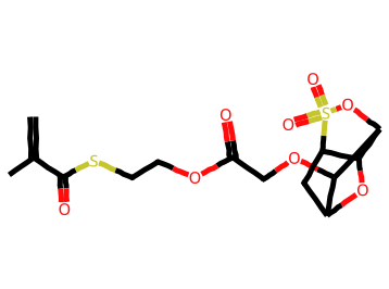 C=C(C)C(=O)SCCOC(=O)COC1C2CC3C(O2)C1OS3(=O)=O